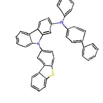 c1ccc(-c2ccc(N(c3ccccc3)c3ccc4c5ccccc5n(-c5ccc6sc7ccccc7c6c5)c4c3)cc2)cc1